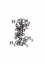 Cc1cccc(C)c1-c1ccc2c(c1)c1cc(-c3c(C)cccc3C)ccc1n2-c1cc2c3c(c1)N(c1ccccc1)c1cc4c(cc1B3c1ccccc1N2c1ccccc1)B1c2ccccc2N(c2ccccc2)c2cc(-n3c5ccc(-c6c(C)cccc6C)cc5c5cc(-c6c(C)cccc6C)ccc53)cc(c21)N4c1c(-c2ccccc2)cccc1-c1ccccc1